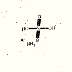 N.O=S(=O)(O)O.[Ar]